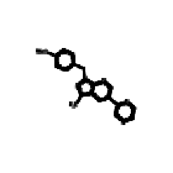 COc1ccc(Cn2nc(C)c3cc(-c4cnc[c]n4)cnc32)cc1